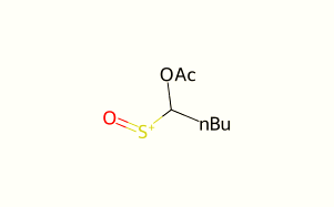 CCCCC(OC(C)=O)[S+]=O